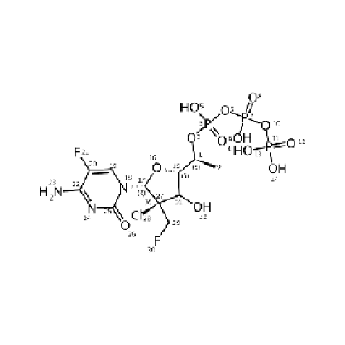 C[C@H](OP(=O)(O)OP(=O)(O)OP(=O)(O)O)[C@H]1O[C@@H](n2cc(F)c(N)nc2=O)[C@@](Cl)(CF)C1O